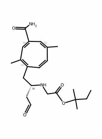 CCC(C)(C)OC(=O)CN[C@H](CC=O)C/C1=C(C)/C=C(C(N)=O)\C=C(\C)C=C1